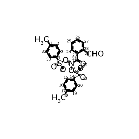 Cc1ccc(S(=O)(=O)ON(OS(=O)(=O)c2ccc(C)cc2)C(=O)c2ccccc2C=O)cc1